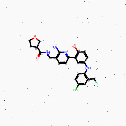 Nc1nc(-c2cc(Nc3ccc(Cl)cc3CF)ccc2O)ccc1CNC(=O)C1CCOC1